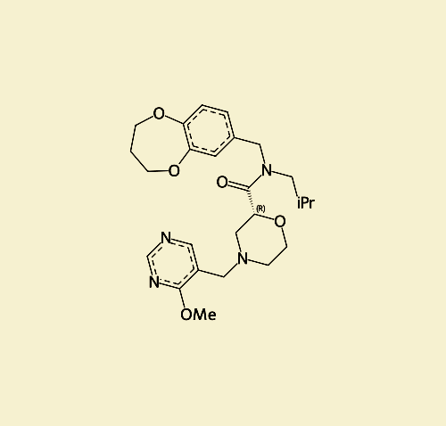 COc1ncncc1CN1CCO[C@@H](C(=O)N(Cc2ccc3c(c2)OCCCO3)CC(C)C)C1